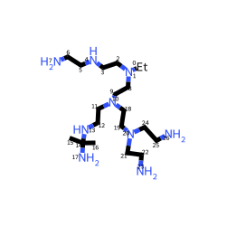 CCN(CCNCCN)CCN(CCNC(C)(C)N)CCN(CCN)CCN